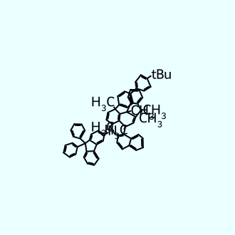 CC(C)(C)c1ccc(-c2ccc(C3(C)C=CC4(C)C5=C3C3(C)C(=CC5(C)c5c(ccc6ccccc56)N4c4ccc5c(c4)-c4ccccc4C5(c4ccccc4)c4ccccc4)C(C)(C)c4ccccc43)cc2)cc1